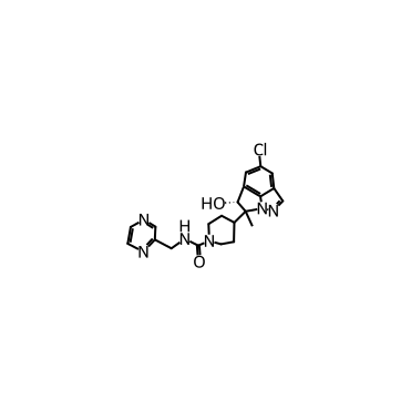 CC1(C2CCN(C(=O)NCc3cnccn3)CC2)[C@H](O)c2cc(Cl)cc3cnn1c23